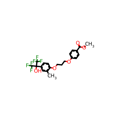 COC(=O)c1ccc(OCCCOc2ccc(C(O)(C(F)(F)F)C(F)(F)F)cc2C)cc1